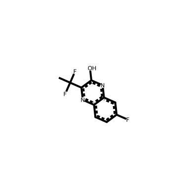 CC(F)(F)c1nc2ccc(F)cc2nc1O